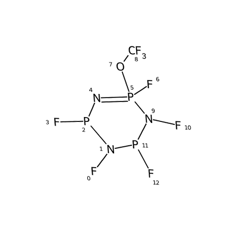 FN1P(F)N=P(F)(OC(F)(F)F)N(F)P1F